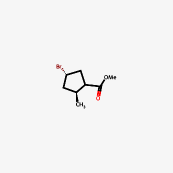 COC(=O)C1C[C@@H](Br)C[C@@H]1C